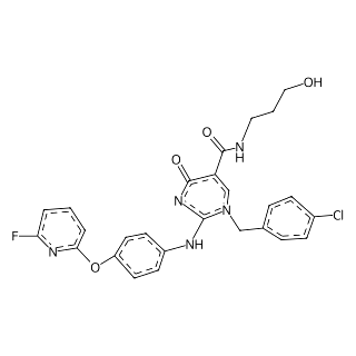 O=C(NCCCO)c1cn(Cc2ccc(Cl)cc2)c(Nc2ccc(Oc3cccc(F)n3)cc2)nc1=O